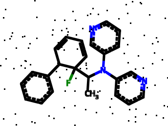 CC(N(c1cccnc1)c1cccnc1)C1(F)C=CC=CC1c1ccccc1